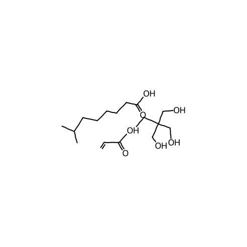 C=CC(=O)O.CC(C)CCCCCC(=O)O.CCC(CO)(CO)CO